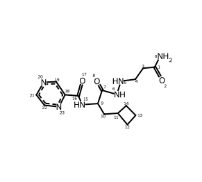 NC(=O)CCNNC(=O)C(CC1CCC1)NC(=O)c1cnccn1